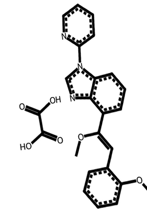 COC(=Cc1ccccc1OC)c1cccc2c1ncn2-c1ccccn1.O=C(O)C(=O)O